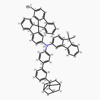 CC(C)(C)c1ccc2c(c1)C1(c3ccccc3-c3ccc(N(c4ccc(-c5cccc(C67CC8CC(CC(C8)C6)C7)c5)cc4)c4ccc5c(c4)-c4ccccc4C5(C)C)cc31)c1ccccc1-2